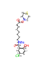 O=C(CCCCCCCNC(=O)c1cc(Cl)ccc1O)ON1CCSCC1